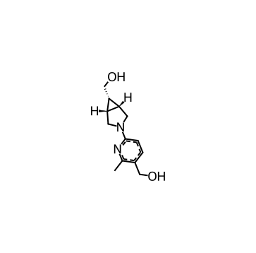 Cc1nc(N2C[C@@H]3[C@H](CO)[C@@H]3C2)ccc1CO